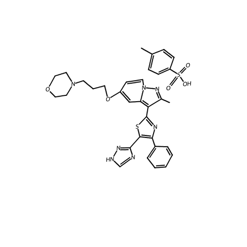 Cc1ccc(S(=O)(=O)O)cc1.Cc1nn2ccc(OCCCN3CCOCC3)cc2c1-c1nc(-c2ccccc2)c(-c2nc[nH]n2)s1